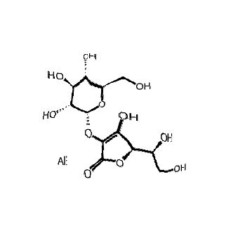 O=C1O[C@H]([C@@H](O)CO)C(O)=C1O[C@H]1O[C@H](CO)[C@@H](O)[C@H](O)[C@H]1O.[Al]